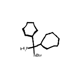 CCCCC(P)(C1CCCCC1)C1CCCCC1